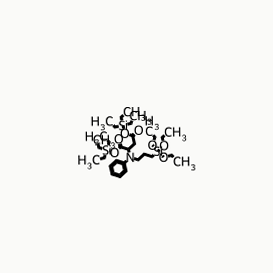 CCO[Si](CCCN(c1ccccc1)C(CC(=O)O[Si](CC)(CC)CC)C(=O)O[Si](CC)(CC)CC)(OCC)OCC